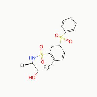 CC[C@H](CO)NS(=O)(=O)c1cc(S(=O)(=O)c2ccccc2)ccc1C(F)(F)F